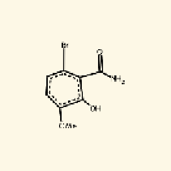 COc1ccc(Br)c(C(N)=O)c1O